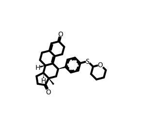 C[C@]12C[C@H](c3ccc(SC4CCCCO4)cc3)C3=C4CCC(=O)C=C4CC[C@H]3[C@@H]1CCC2=O